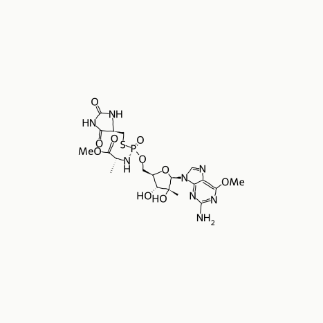 COC(=O)[C@@H](C)N[P@](=O)(OC[C@H]1O[C@@H](n2cnc3c(OC)nc(N)nc32)[C@](C)(O)[C@@H]1O)SC[C@@H]1NC(=O)NC1=O